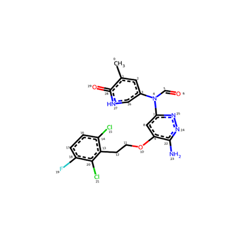 Cc1cc(N(C=O)c2cc(OCCc3c(Cl)ccc(F)c3Cl)c(N)nn2)c[nH]c1=O